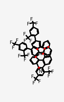 N#Cc1cccc(-n2c3ccccc3c3cc(-c4ccc(C(F)(F)F)cc4C(F)(F)F)ccc32)c1-c1c(-c2ccc(C(F)(F)F)cc2C(F)(F)F)cccc1-n1c2ccccc2c2cc(-c3ccc(C(F)(F)F)cc3C(F)(F)F)ccc21